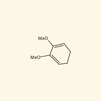 COC1=CCCC=C1OC